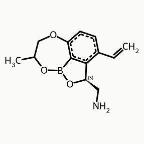 C=Cc1ccc2c3c1[C@@H](CN)OB3OC(C)CO2